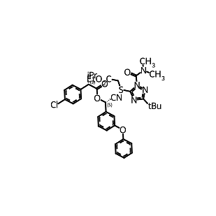 CC(C)[C@H](C(=O)O[C@H](C#N)c1cccc(Oc2ccccc2)c1)c1ccc(Cl)cc1.CCOC(=O)CSc1nc(C(C)(C)C)nn1C(=O)N(C)C